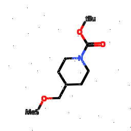 CSOCC1CCN(C(=O)OC(C)(C)C)CC1